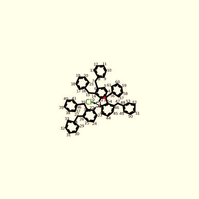 Cl[Si](c1cccc(Cc2ccccc2)c1Cc1ccccc1)(c1cccc(Cc2ccccc2)c1Cc1ccccc1)c1cccc(Cc2ccccc2)c1Cc1ccccc1